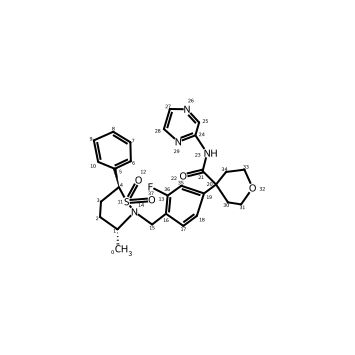 C[C@@H]1CC[C@@H](c2ccccc2)S(=O)(=O)N1Cc1ccc(C2(C(=O)Nc3cnccn3)CCOCC2)cc1F